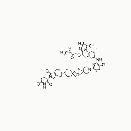 CNC(=O)COc1cc2cc(Nc3nc(N4CCC(F)(CN5CC6(CCN(c7ccc8c(c7)CN(C7CCC(=O)NC7=O)C8=O)CC6)C5)CC4)ncc3Cl)ccc2n(C(C)C)c1=O